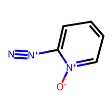 N#[N+]c1cccc[n+]1[O-]